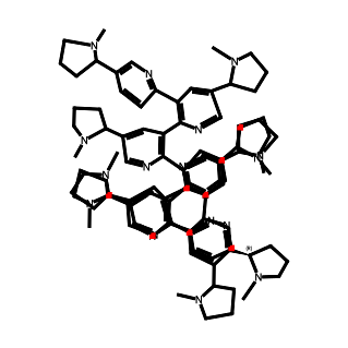 CN1CCCC1c1ccc(-c2cc(C3CCCN3C)cnc2-c2cc(C3CCCN3C)cnc2-c2cc(C3CCCN3C)cnc2-c2cc(C3CCCN3C)cnc2-c2cc(C3CCCN3C)cnc2-c2cc(C3CCCN3C)cnc2-c2cc(C3CCCN3C)cnc2-c2ccc([C@H]3CCCN3C)cn2)nc1